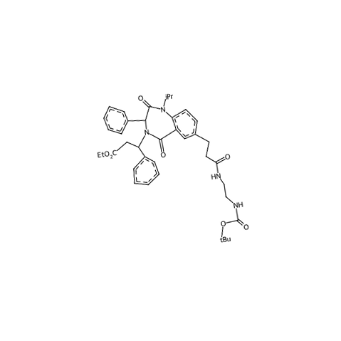 CCOC(=O)CC(c1ccccc1)N1C(=O)c2cc(CCC(=O)NCCNC(=O)OC(C)(C)C)ccc2N(C(C)C)C(=O)C1c1ccccc1